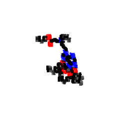 COC(=O)CCN(C)CCCn1cnc2c(N(C(=O)OC(C)(C)C)C(=O)OC(C)(C)C)ncnc21